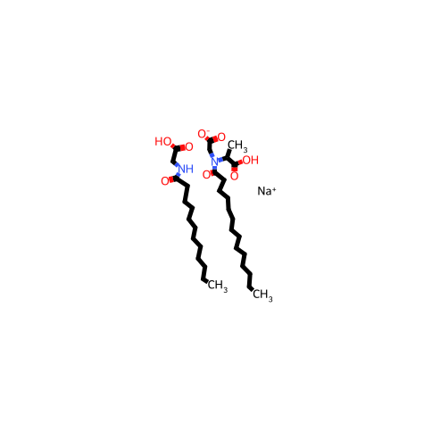 CCCCCCCCCCCC(=O)NCC(=O)O.CCCCCCCCCCCCCC(=O)N(CC(=O)[O-])C(C)C(=O)O.[Na+]